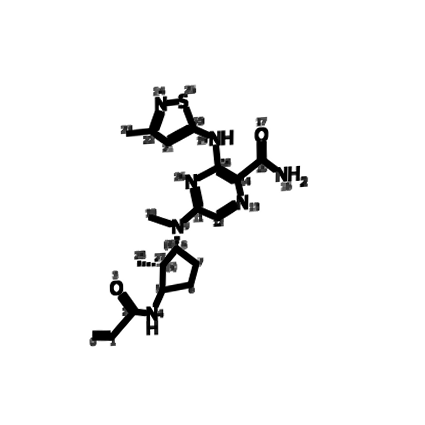 C=CC(=O)NC1CC[C@@H](N(C)c2cnc(C(N)=O)c(Nc3cc(C)ns3)n2)[C@H]1C